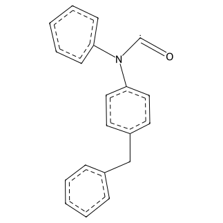 O=[C]N(c1ccccc1)c1ccc(Cc2ccccc2)cc1